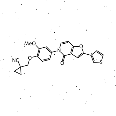 COc1cc(-n2ccc3oc(-c4ccsc4)cc3c2=O)ccc1OCC1(C#N)CC1